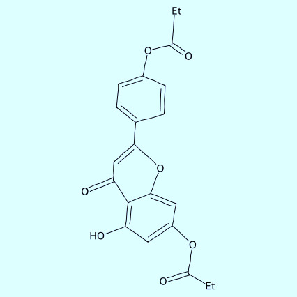 CCC(=O)Oc1ccc(-c2cc(=O)c3c(O)cc(OC(=O)CC)cc3o2)cc1